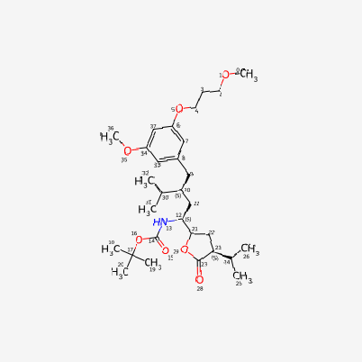 COCCCOc1cc(C[C@@H](C[C@H](NC(=O)OC(C)(C)C)C2C[C@@H](C(C)C)C(=O)O2)C(C)C)cc(OC)c1